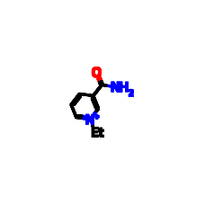 CC[n+]1cccc(C(N)=O)c1